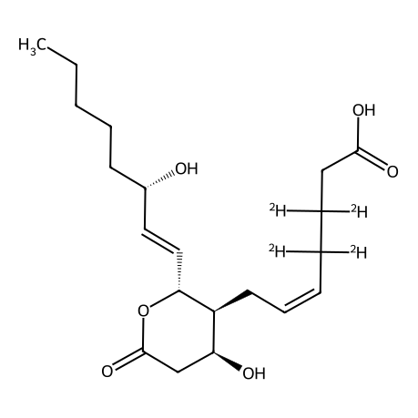 [2H]C([2H])(/C=C\C[C@H]1[C@@H](O)CC(=O)O[C@@H]1/C=C/[C@@H](O)CCCCC)C([2H])([2H])CC(=O)O